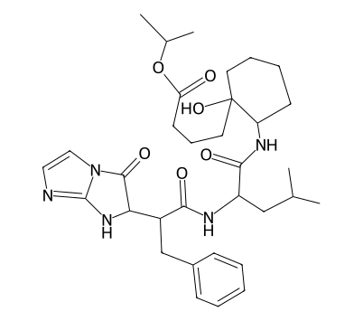 CC(C)CC(NC(=O)C(Cc1ccccc1)C1Nc2nccn2C1=O)C(=O)NC1CCCCC1(O)CCCC(=O)OC(C)C